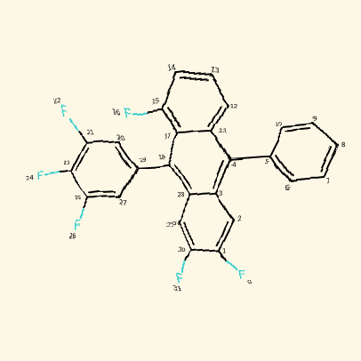 Fc1cc2c(-c3ccccc3)c3cccc(F)c3c(-c3cc(F)c(F)c(F)c3)c2cc1F